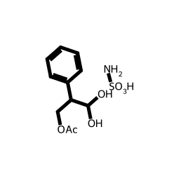 CC(=O)OCC(c1ccccc1)C(O)O.NS(=O)(=O)O